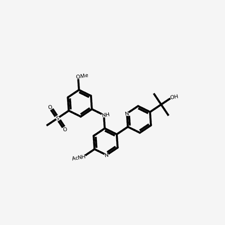 COc1cc(Nc2cc(NC(C)=O)ncc2-c2ccc(C(C)(C)O)cn2)cc(S(C)(=O)=O)c1